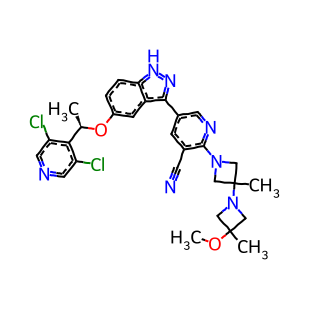 COC1(C)CN(C2(C)CN(c3ncc(-c4n[nH]c5ccc(O[C@H](C)c6c(Cl)cncc6Cl)cc45)cc3C#N)C2)C1